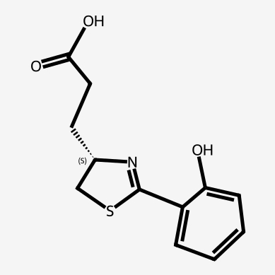 O=C(O)CC[C@H]1CSC(c2ccccc2O)=N1